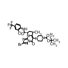 C[C@@H]1C[C@H](C(=O)Nc2ccc(C(F)(F)F)cc2Cl)n2c1c(N1CCN(C(=O)OC(C)(C)C)CC1)c(=O)n1nc(Br)nc21